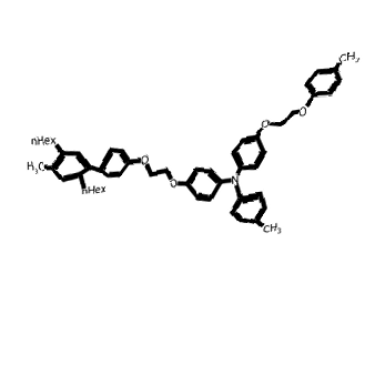 CCCCCCc1cc(-c2ccc(OCCOc3ccc(N(c4ccc(C)cc4)c4ccc(OCCOc5ccc(C)cc5)cc4)cc3)cc2)c(CCCCCC)cc1C